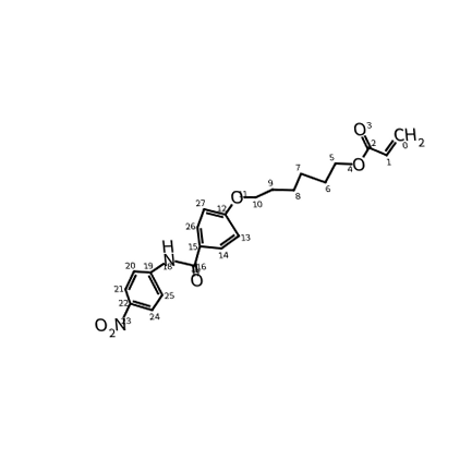 C=CC(=O)OCCCCCCOc1ccc(C(=O)Nc2ccc([N+](=O)[O-])cc2)cc1